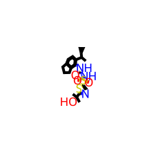 CC(c1ccc2c(c1NC(=O)NS(=O)(=O)c1cnc(C(C)(C)O)s1)CCC2)C1CC1